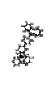 CC1(n2c3ccccc3c3ccccc32)C=CC(c2ccc(-n3c4ccccc4c4ccccc43)cc2)=CC1